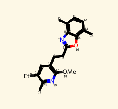 CCc1cc(CCc2nc3c(C)ccc(C)c3o2)c(OC)nc1C